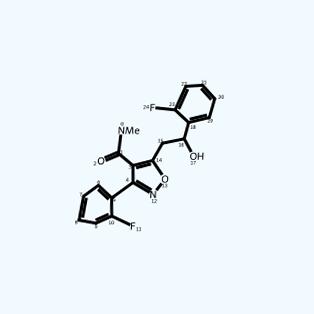 CNC(=O)c1c(-c2ccccc2F)noc1CC(O)c1ccccc1F